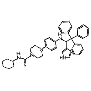 S=C(NC1CCCCC1)N1CCN(c2ccc(NC(c3c[nH]cn3)C(c3ccccc3)(c3ccccc3)c3ccccc3)cc2)CC1